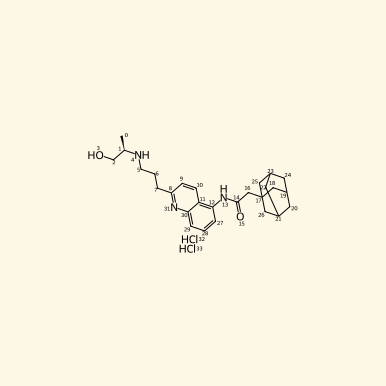 C[C@H](CO)NCCCc1ccc2c(NC(=O)CC34CC5CC(CC(C5)C3)C4)cccc2n1.Cl.Cl